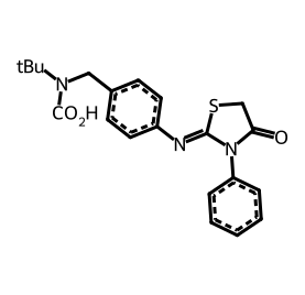 CC(C)(C)N(Cc1ccc(N=C2SCC(=O)N2c2ccccc2)cc1)C(=O)O